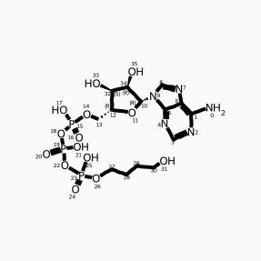 Nc1ncnc2c1ncn2[C@@H]1O[C@H](COP(=O)(O)OP(=O)(O)OP(=O)(O)OCCCCO)[C@@H](O)[C@H]1O